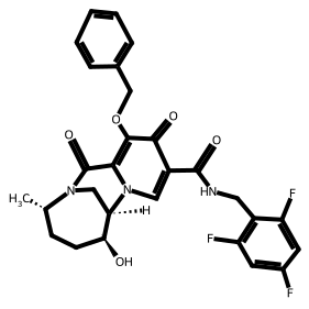 C[C@H]1CC[C@H](O)[C@H]2CN1C(=O)c1c(OCc3ccccc3)c(=O)c(C(=O)NCc3c(F)cc(F)cc3F)cn12